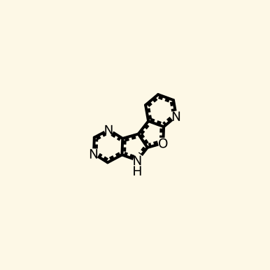 c1cnc2oc3[nH]c4cncnc4c3c2c1